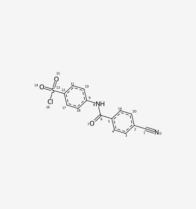 N#Cc1ccc(C(=O)Nc2ccc(S(=O)(=O)Cl)cc2)cc1